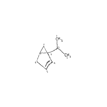 CC(C)C12C=CCC1C2